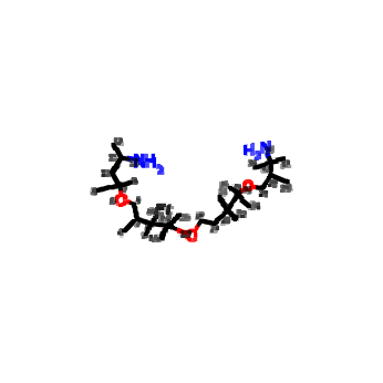 CCC(C)(C(C)COC(C)(C)CC(C)N)C(C)(C)OCCC(C)(C)C(C)(C)OCC(C)C(C)(C)N